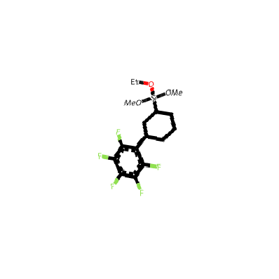 CCO[Si](OC)(OC)C1CCCC(c2c(F)c(F)c(F)c(F)c2F)C1